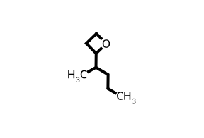 CCCC(C)C1CCO1